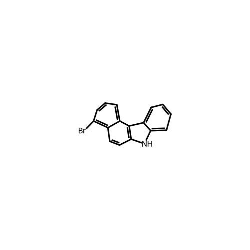 Brc1cccc2c1ccc1[nH]c3ccccc3c12